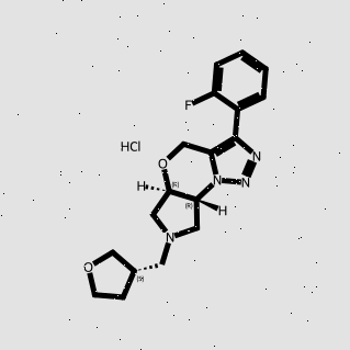 Cl.Fc1ccccc1-c1nnn2c1CO[C@@H]1CN(C[C@@H]3CCOC3)C[C@H]12